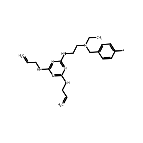 C=CCNc1nc(NCC=C)nc(NCCN(CC)Cc2ccc(F)cc2)n1